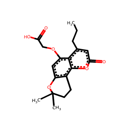 CCCc1cc(=O)oc2c3c(cc(OCC(=O)O)c12)OC(C)(C)CC3